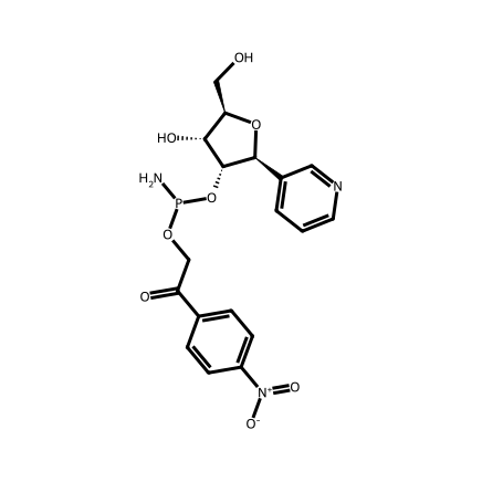 NP(OCC(=O)c1ccc([N+](=O)[O-])cc1)O[C@@H]1[C@H](O)[C@@H](CO)O[C@H]1c1cccnc1